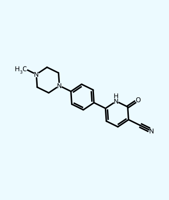 CN1CCN(c2ccc(-c3ccc(C#N)c(=O)[nH]3)cc2)CC1